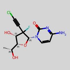 C[C@@H](O)[C@H]1O[C@@H](n2ccc(N)nc2=O)C(F)(C#CCl)[C@H]1O